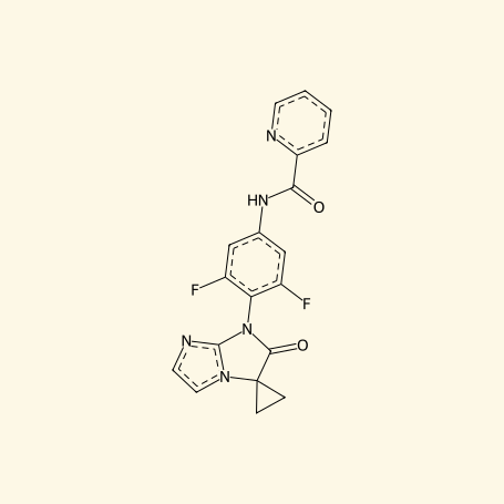 O=C(Nc1cc(F)c(N2C(=O)C3(CC3)n3ccnc32)c(F)c1)c1ccccn1